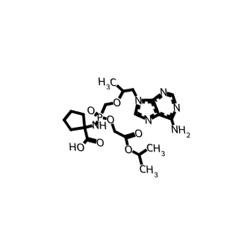 CC(C)OC(=O)COP(=O)(COC(C)Cn1cnc2c(N)ncnc21)NC1(C(=O)O)CCCC1